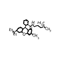 CCN(CC)c1ccc2c(c1)Oc1cc(C)ccc1C2c1ccccc1C(=O)NCCCN(C)C